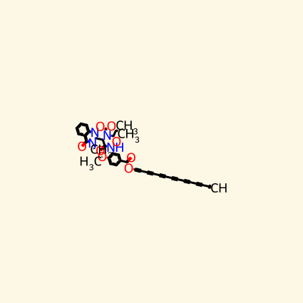 C#CC#CC#CC#CC#CC#CC#COC(=O)c1ccc(OC)c(NC(=O)C(c2nc3ccccc3c(=O)n2C)N2C(=O)OC(C)(C)C2=O)c1